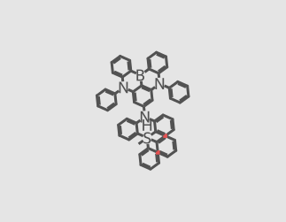 C[SH]1(c2ccccc2)(c2ccccc2)c2ccccc2N(c2cc3c4c(c2)N(c2ccccc2)c2ccccc2B4c2ccccc2N3c2ccccc2)c2ccccc21